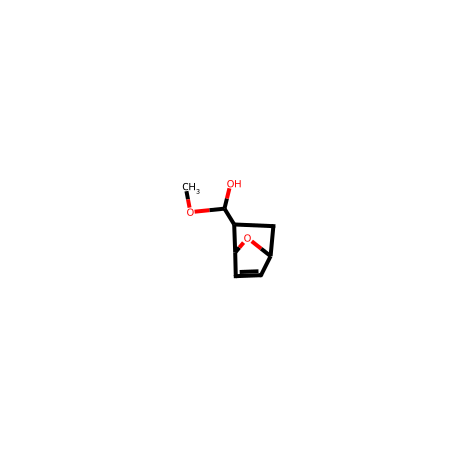 COC(O)C1CC2C=CC1O2